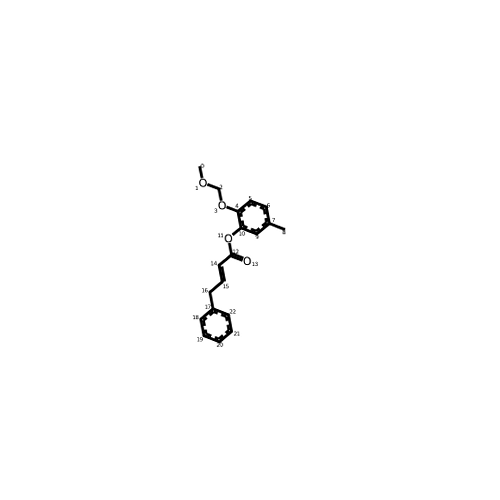 COCOc1ccc(C)cc1OC(=O)C=CCc1ccccc1